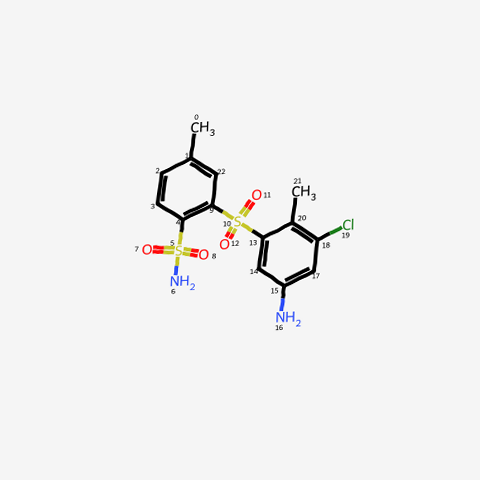 Cc1ccc(S(N)(=O)=O)c(S(=O)(=O)c2cc(N)cc(Cl)c2C)c1